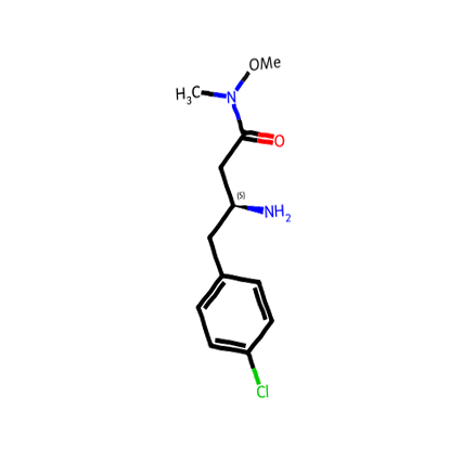 CON(C)C(=O)C[C@@H](N)Cc1ccc(Cl)cc1